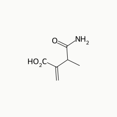 C=C(C(=O)O)C(C)C(N)=O